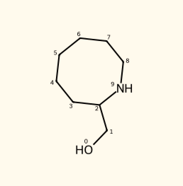 OCC1CCCCCCN1